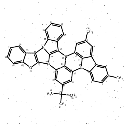 Cc1ccc2c(c1)c1cc(C)cc3c1n2-c1cc(C(C)(C)C)cc2c1B3c1c3ccccc3n3c4c5ccccc5oc4n-2c13